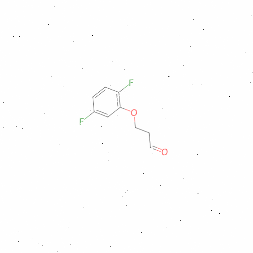 O=CCCOc1cc(F)ccc1F